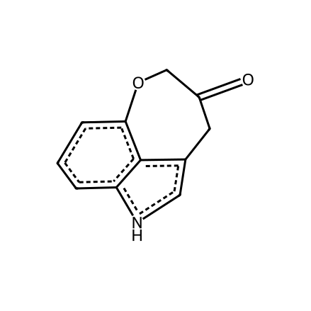 O=C1COc2cccc3[nH]cc(c23)C1